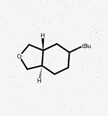 CC(C)(C)C1CC[C@H]2COC[C@@H]2C1